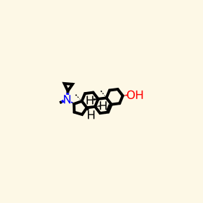 CN(C1CC1)[C@H]1CC[C@H]2[C@@H]3CC=C4C[C@@H](O)CC[C@]4(C)[C@H]3CC[C@]12C